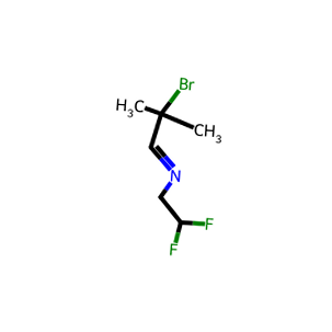 CC(C)(Br)C=NCC(F)F